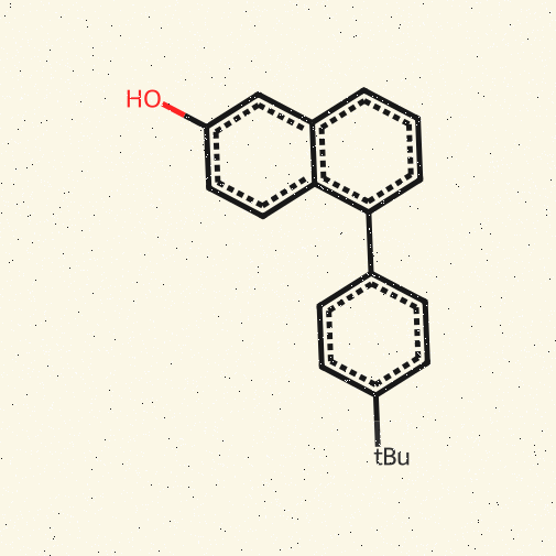 CC(C)(C)c1ccc(-c2cccc3cc(O)ccc23)cc1